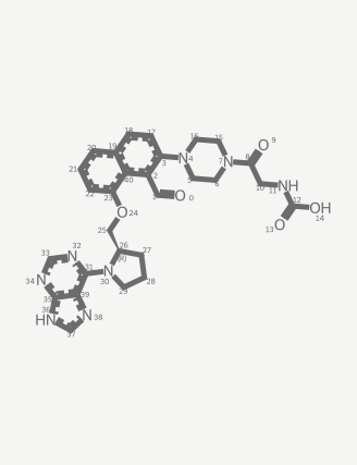 O=Cc1c(N2CCN(C(=O)CNC(=O)O)CC2)ccc2cccc(OC[C@H]3CCCN3c3ncnc4[nH]cnc34)c12